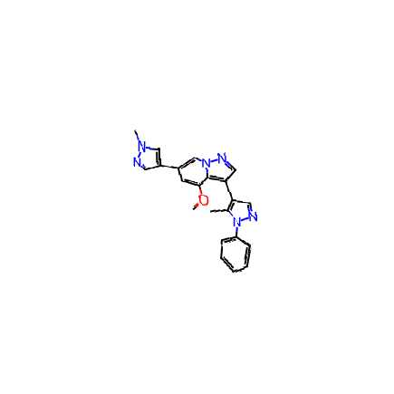 COc1cc(-c2cnn(C)c2)cn2ncc(-c3cnn(-c4ccccc4)c3C)c12